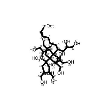 CCCCCCCC/C=C\CCCC(CC(O)CO)C(CC(O)CO)(CC(O)CO)C(CC(O)CO)(CC(O)CO)C(CC(O)CO)(CC(O)CO)C(=O)O